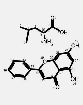 CC(C)C[C@H](N)C(=O)O.O=c1cc(-c2ccccc2)oc2cc(O)cc(O)c12